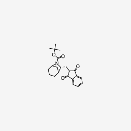 CC(C)(C)OC(=O)N1C2CCCC(C2)[C@H]1CC1C(=O)c2ccccc2C1=O